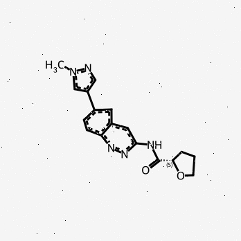 Cn1cc(-c2ccc3nnc(NC(=O)[C@@H]4CCCO4)cc3c2)cn1